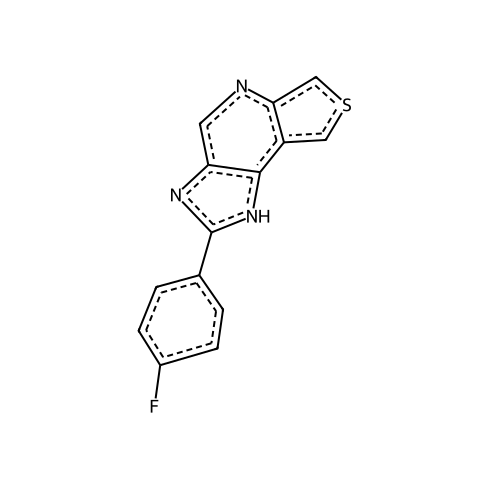 Fc1ccc(-c2nc3cnc4cscc4c3[nH]2)cc1